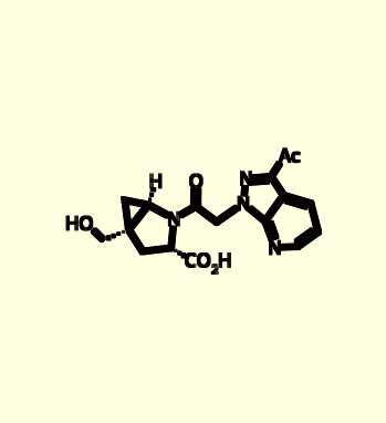 CC(=O)c1nn(CC(=O)N2[C@H](C(=O)O)C[C@@]3(CO)C[C@@H]23)c2ncccc12